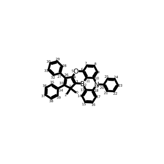 CC1(C)C2=C(Oc3cccc4c3B2c2ccccc2N4c2ccccc2)C(c2ccccc2)=C1c1ccccc1